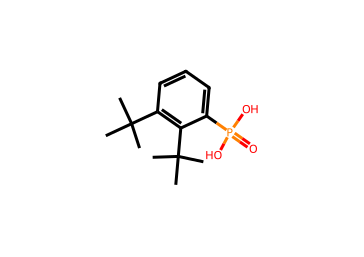 CC(C)(C)c1cccc(P(=O)(O)O)c1C(C)(C)C